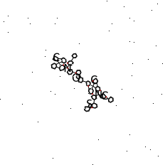 c1ccc(-c2ccc(N(c3cccc(-c4cccc5c4oc4ccc(-c6ccc7c(c6)-c6ccccc6C76c7ccccc7-c7ccc(N(c8ccc(-c9ccccc9)cc8)c8cccc(-c9cccc%10c9sc9ccccc9%10)c8)cc76)cc45)c3)c3ccc4c(c3)C3(c5ccccc5-c5ccccc53)c3ccccc3-4)cc2)cc1